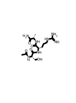 CC(=O)N[C@@H](CO)C(=O)N[C@@H](CCCNC(=N)N)C(=O)N[C@@H](C)C(N)=O